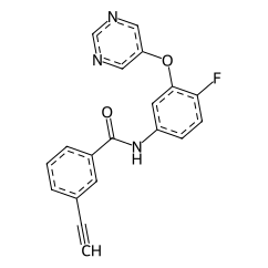 C#Cc1cccc(C(=O)Nc2ccc(F)c(Oc3cncnc3)c2)c1